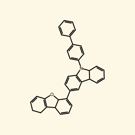 C1=CC2C3=C(C=CCC3)OC2C(c2ccc3c(c2)C2C=CC=CC2N3c2ccc(-c3ccccc3)cc2)=C1